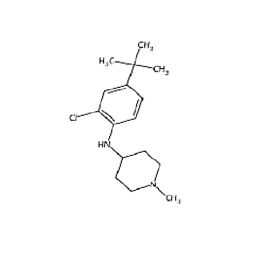 CN1CCC(Nc2ccc(C(C)(C)C)cc2Cl)CC1